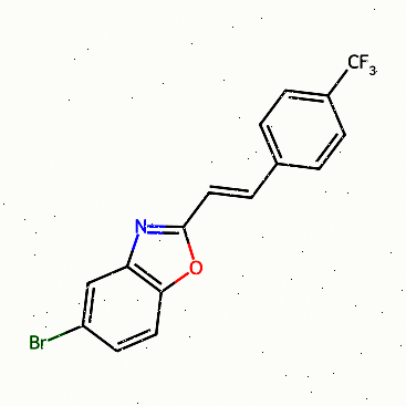 FC(F)(F)c1ccc(C=Cc2nc3cc(Br)ccc3o2)cc1